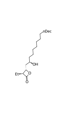 CCCCCCCCCCCCCCCCC[C@@H](O)C[C@@H]1OC(=O)[C@H]1CC